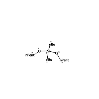 CCCCCO[Si](CCCC)(CCCC)OCCCCC